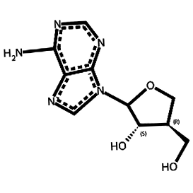 Nc1ncnc2c1ncn2C1OC[C@@H](CO)[C@@H]1O